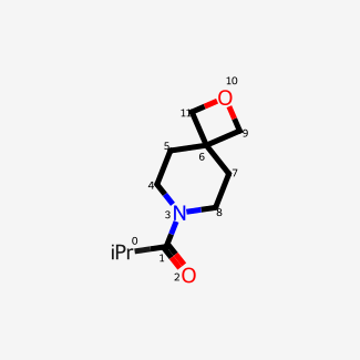 CC(C)C(=O)N1CCC2(CC1)COC2